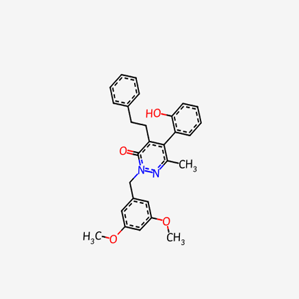 COc1cc(Cn2nc(C)c(-c3ccccc3O)c(CCc3ccccc3)c2=O)cc(OC)c1